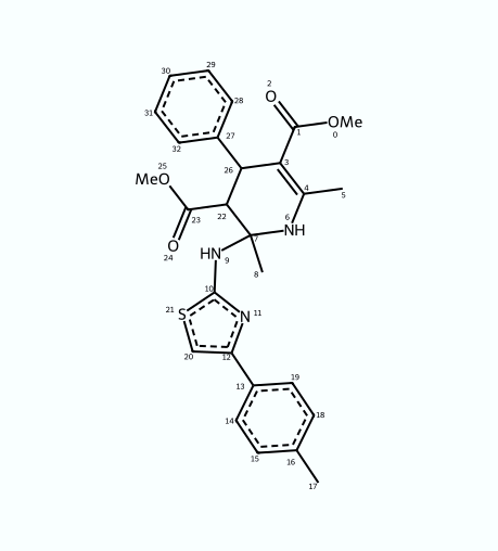 COC(=O)C1=C(C)NC(C)(Nc2nc(-c3ccc(C)cc3)cs2)C(C(=O)OC)C1c1ccccc1